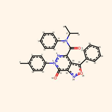 Cc1ccc(-n2nc(C(=O)N(c3ccccc3)C(C)C)c3c(-c4ccccc4)onc3c2=O)cc1